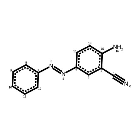 N#Cc1cc(N=Nc2ccccc2)ccc1N